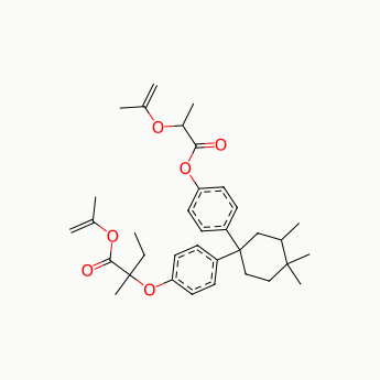 C=C(C)OC(=O)C(C)(CC)Oc1ccc(C2(c3ccc(OC(=O)C(C)OC(=C)C)cc3)CCC(C)(C)C(C)C2)cc1